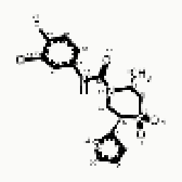 C[C@@H]1CS(=O)(=O)[C@@H](c2cccs2)CN1C(=O)Nc1ccc(F)c(Cl)c1